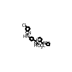 O=C(NC1(C(=O)O)CCCC1)c1cccn2c(-c3ccc(Nc4nc5ccc(Cl)cc5s4)cc3)nnc12